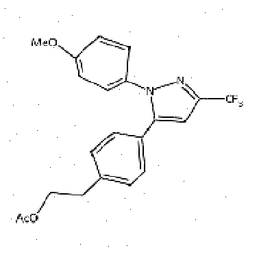 COc1ccc(-n2nc(C(F)(F)F)cc2-c2ccc(CCOC(C)=O)cc2)cc1